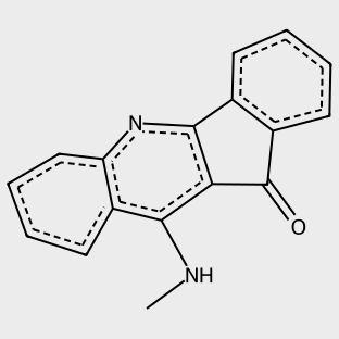 CNc1c2c(nc3ccccc13)-c1ccccc1C2=O